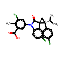 Cc1c(Br)cc(N2C(=O)[C@@]3(C[C@]3(c3ccc(Cl)cc3)C(C)C)c3cc(F)ccc32)cc1C(=O)O